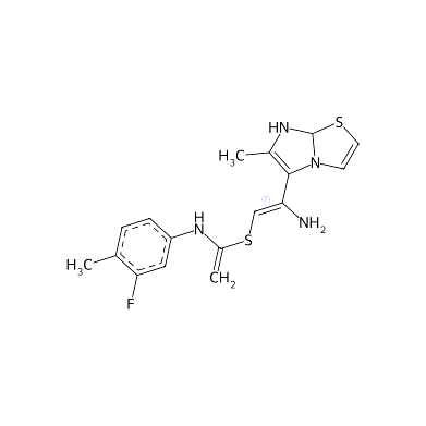 C=C(Nc1ccc(C)c(F)c1)S/C=C(\N)C1=C(C)NC2SC=CN12